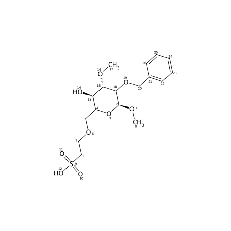 CO[C@H]1OC(COCCS(=O)(=O)O)[C@@H](O)[C@H](OC)C1OCc1ccccc1